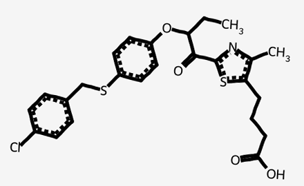 CCC(Oc1ccc(SCc2ccc(Cl)cc2)cc1)C(=O)c1nc(C)c(CCCC(=O)O)s1